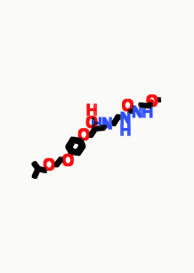 COCCNC(=O)NCCNCC(O)COc1ccc(OCCOCC(C)C)cc1